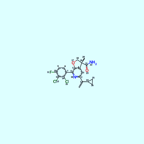 C=C(c1cc2c(c(-c3ccc(F)c(Cl)c3Cl)n1)OC[C@]2(C)C(N)=O)C1CC1